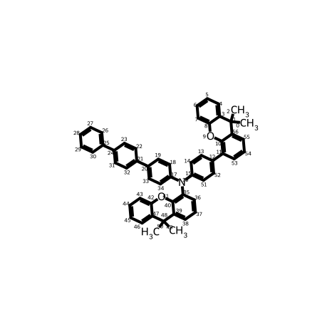 CC1(C)c2ccccc2Oc2c(-c3ccc(N(c4ccc(-c5ccc(-c6ccccc6)cc5)cc4)c4cccc5c4Oc4ccccc4C5(C)C)cc3)cccc21